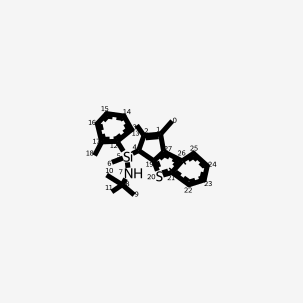 CC1=C(C)C([Si](C)(NC(C)(C)C)c2ccccc2C)c2sc3ccccc3c21